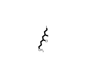 CCCCC(Cl)CC(I)CCI